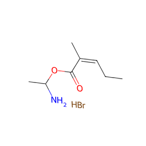 Br.CCC=C(C)C(=O)OC(C)N